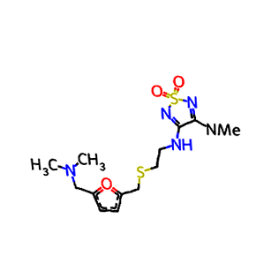 CNC1=NS(=O)(=O)N=C1NCCSCc1ccc(CN(C)C)o1